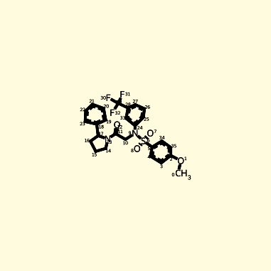 COc1ccc(S(=O)(=O)N(CC(=O)N2CCCC2c2ccccc2)c2cccc(C(F)(F)F)c2)cc1